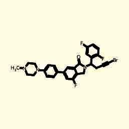 CN1CCN(c2ccc(-c3cc(F)c4c(c3)C(=O)N(C(CC#CBr)c3cc(F)ccc3F)C4)cc2)CC1